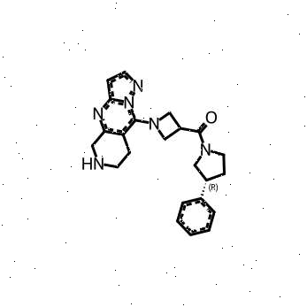 O=C(C1CN(c2c3c(nc4ccnn24)CNCC3)C1)N1CC[C@H](c2ccccc2)C1